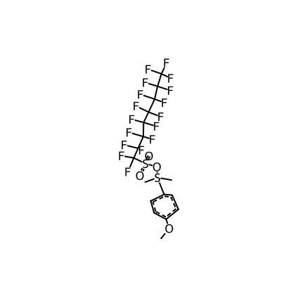 COc1ccc(S(C)(C)OS(=O)(=O)C(F)(F)C(F)(F)C(F)(F)C(F)(F)C(F)(F)C(F)(F)C(F)(F)C(F)(F)F)cc1